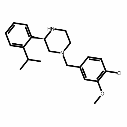 COc1cc(CN2CCN[C@H](c3ccccc3C(C)C)C2)ccc1Cl